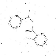 CC(CC1=CCc2ccccc21)c1ccccc1